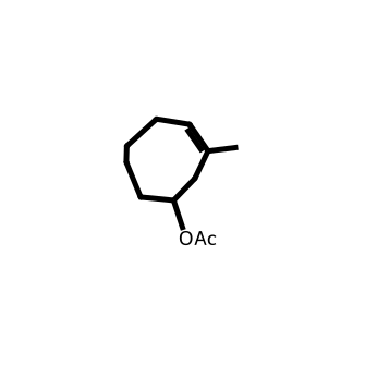 CC(=O)OC1CCCC/C=C(/C)C1